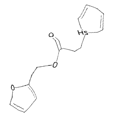 O=C(C[SH]1C=CC=C1)OCc1ccco1